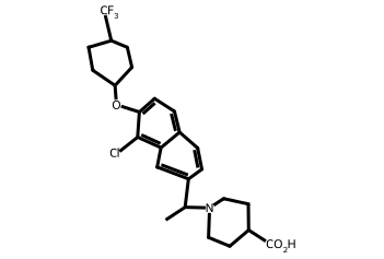 CC(c1ccc2ccc(OC3CCC(C(F)(F)F)CC3)c(Cl)c2c1)N1CCC(C(=O)O)CC1